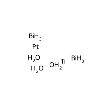 O.O.O.[BiH3].[BiH3].[Pt].[Ti]